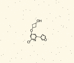 OC1CC(Oc2cc(Cl)nc(-c3ccoc3)c2)C1